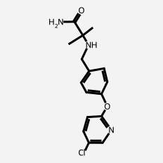 CC(C)(NCc1ccc(Oc2ccc(Cl)cn2)cc1)C(N)=O